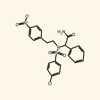 NC(=O)C(c1ccccc1)N(CCc1ccc([N+](=O)[O-])cc1)S(=O)(=O)c1ccc(Cl)cc1